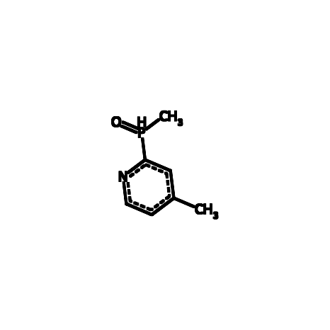 Cc1ccnc([PH](C)=O)c1